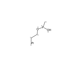 CC(C)CCOP(C)O